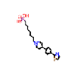 O=P(O)(O)CCCCCCCC[n+]1ccc(-c2ccc(-c3nccs3)cc2)cc1